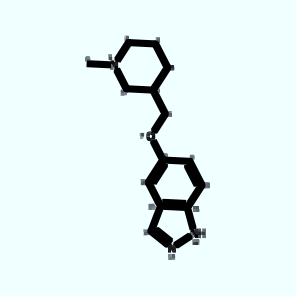 CN1CCCC(COc2ccc3[nH]ncc3c2)C1